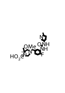 COC[C@@]1(C)CN(Cc2ccc(F)c(NC(=O)Nc3ccc(C)nc3)c2)CCN1C(=O)O